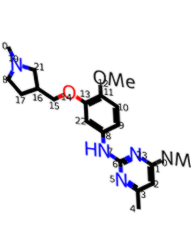 CNc1cc(C)nc(Nc2ccc(OC)c(OCC3CCN(C)C3)c2)n1